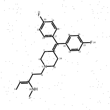 C/C=C(/CCN1CCC(=C(c2ccc(F)cc2)c2ccc(F)cc2)CC1)NC